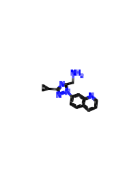 NCc1nc(C2CC2)nn1-c1ccc2cccnc2c1